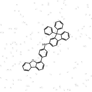 C1=CC2Oc3c(-c4ccc(Nc5ccc6c(c5)C(c5ccccc5)(c5ccccc5)c5ccccc5-6)cc4)cccc3C2C=C1